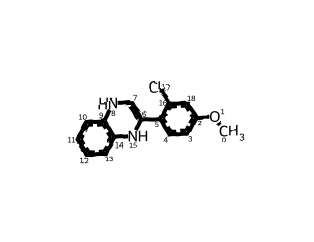 COc1ccc(C2=CNc3c[c]ccc3N2)c(Cl)c1